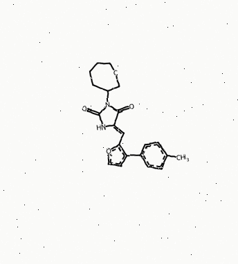 Cc1ccc(-c2ccoc2C=C2NC(=O)N(C3CCCCCC3)C2=O)cc1